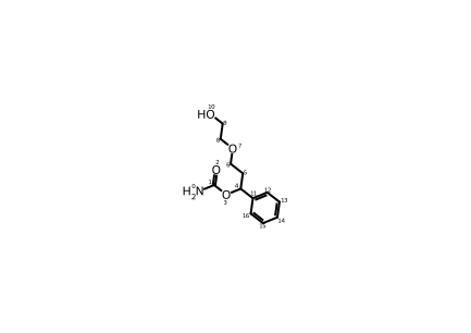 NC(=O)OC(CCOCCO)c1ccccc1